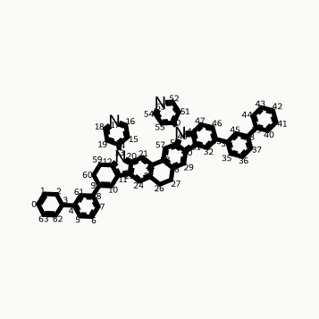 C1=CCC(c2cccc(C3=Cc4c(n(-c5ccncc5)c5cc6c(cc45)CCc4cc5c7cc(-c8cccc(-c9ccccc9)c8)ccc7n(-c7ccncc7)c5cc4-6)CC3)c2)C=C1